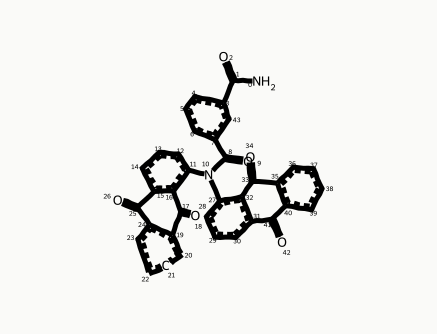 NC(=O)c1cccc(C(=O)N(c2cccc3c2C(=O)c2ccccc2C3=O)c2cccc3c2C(=O)c2ccccc2C3=O)c1